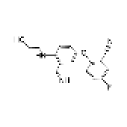 N#Cc1cc(F)ccc1Oc1ccc(NCCO)c(C=N)c1